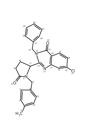 Cc1ccc(CN2C(=O)CCC2c2nc3cc(Cl)ccc3c(=O)n2Cc2ccccc2)cc1